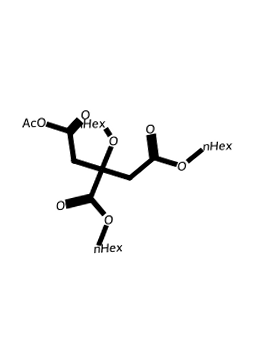 CCCCCCOC(=O)CC(CC(=O)OC(C)=O)(OCCCCCC)C(=O)OCCCCCC